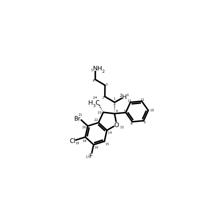 [2H]C(CCCN)[C@]1(c2ccccc2)Oc2cc(F)c(Cl)c(Br)c2[C@@H]1C